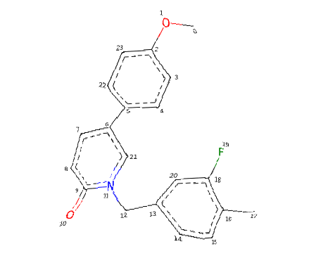 COc1ccc(-c2ccc(=O)n(Cc3ccc(C)c(F)c3)c2)cc1